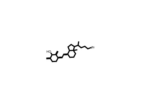 C=C1CC/C(=C/C=C2\CCCC3(C)C2CCC3C(C)CCCC(C)C)C(=C)C1O